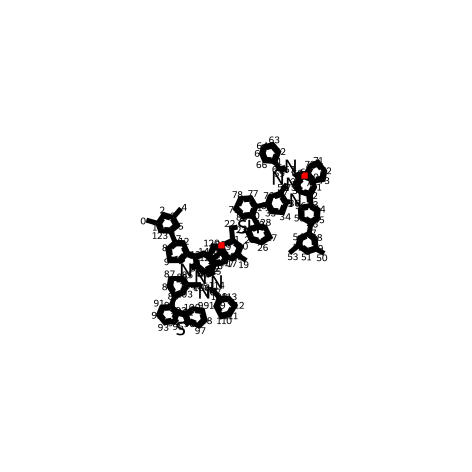 Cc1cc(C)cc(-c2ccc3c(c2)c2cc(-c4cc(C)cc(C[SH]5c6ccccc6-c6c(-c7ccc(-n8c9ccccc9c9ccc(-c%10cc(C)cc(C)c%10)cc98)c(-c8nc(-c9ccccc9)nc(-c9ccccc9)n8)c7)cccc65)c4)ccc2n3-c2ccc(-c3cccc4sc5ccccc5c34)cc2-c2nc(-c3ccccc3)nc(-c3ccccc3)n2)c1